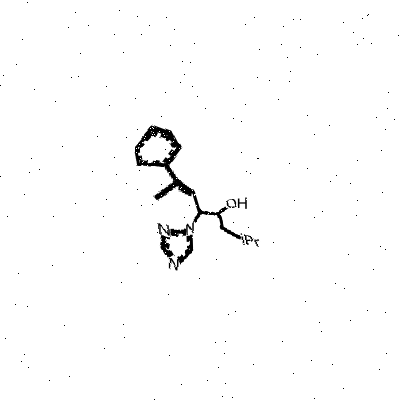 CC(=CC(C(O)CC(C)C)n1cncn1)c1ccccc1